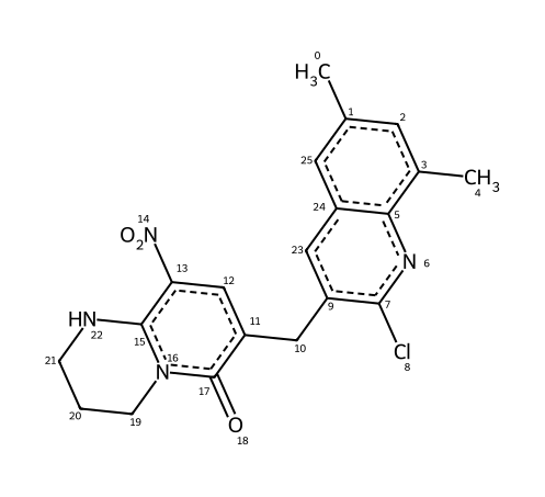 Cc1cc(C)c2nc(Cl)c(Cc3cc([N+](=O)[O-])c4n(c3=O)CCCN4)cc2c1